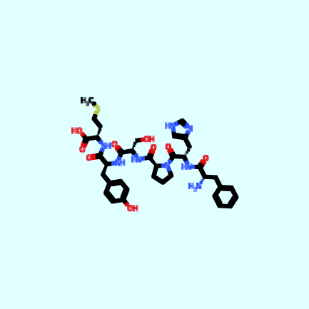 CSCC[C@H](NC(=O)[C@H](Cc1ccc(O)cc1)NC(=O)[C@H](CO)NC(=O)[C@@H]1CCCN1C(=O)[C@H](Cc1c[nH]cn1)NC(=O)[C@@H](N)Cc1ccccc1)C(=O)O